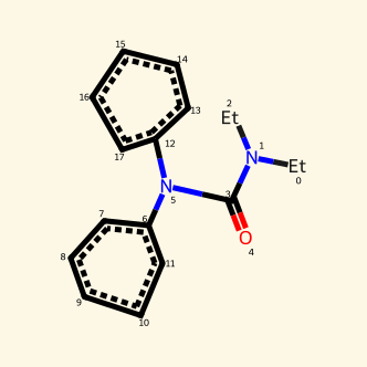 CCN(CC)C(=O)N(c1ccccc1)c1ccccc1